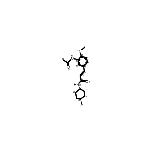 COc1ccc(/C=C/C(=O)N[C@H]2CC[C@H](C)CC2)cc1OC(C)=O